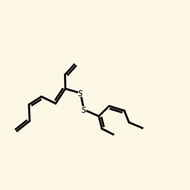 C=C/C=C\C=C(/C=C)SSC(/C=C\CC)=C/C